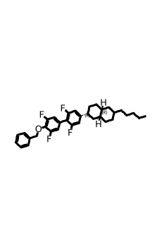 CCCCCC1CC[C@@H]2C[C@H](c3cc(F)c(-c4cc(F)c(OCc5ccccc5)c(F)c4)c(F)c3)CC[C@@H]2C1